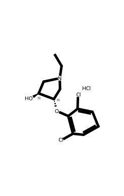 CCN1C[C@H](Oc2c(Cl)cccc2Cl)[C@@H](O)C1.Cl